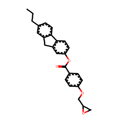 CCCc1ccc2c(c1)Cc1cc(OC(=O)c3ccc(OCC4CO4)cc3)ccc1-2